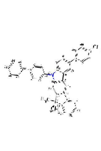 Cc1ccc(-c2ccc3c(c2)c2cc4c(cc2n3-c2ccc(-c3ccccc3)cc2)C(C)(C)c2ccccc2-4)cc1